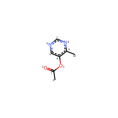 CC(=O)Oc1cncnc1C